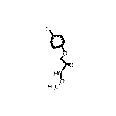 CONC(=O)COc1ccc(Cl)cc1